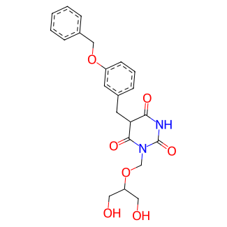 O=C1NC(=O)N(COC(CO)CO)C(=O)C1Cc1cccc(OCc2ccccc2)c1